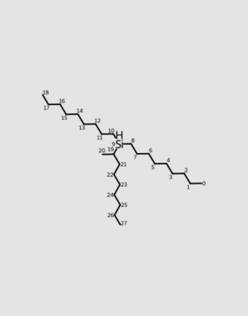 CCCCCCCCC[SiH](CCCCCCCCC)C(C)CCCCCCC